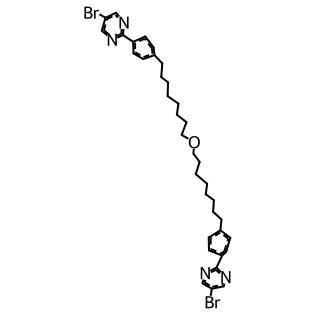 Brc1cnc(-c2ccc(CCCCCCCCOCCCCCCCCc3ccc(-c4ncc(Br)cn4)cc3)cc2)nc1